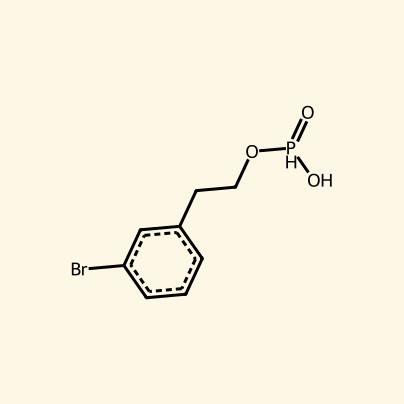 O=[PH](O)OCCc1cccc(Br)c1